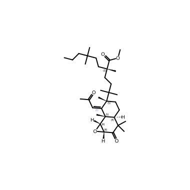 CCCC(C)(C)CC[C@@](C)(CCC(C)(C)[C@]1(C)CC[C@H]2C(C)(C)C(=O)[C@@H]3O[C@@H]3[C@]2(C)/C1=C/C(C)=O)C(=O)OC